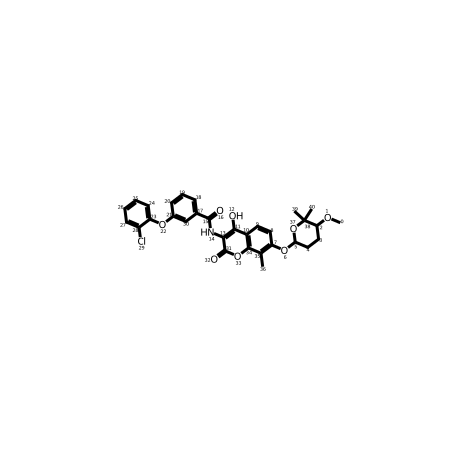 COC1CCC(Oc2ccc3c(O)c(NC(=O)c4cccc(Oc5ccccc5Cl)c4)c(=O)oc3c2C)OC1(C)C